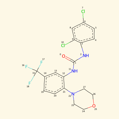 O=C(Nc1ccc(Cl)cc1Cl)Nc1cc(C(F)(F)F)ccc1N1CCOCC1